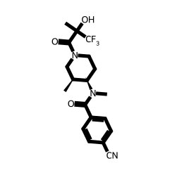 C[C@H]1CN(C(=O)C(C)(O)C(F)(F)F)CC[C@H]1N(C)C(=O)c1ccc(C#N)cc1